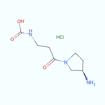 Cl.N[C@@H]1CCN(C(=O)CCNC(=O)O)C1